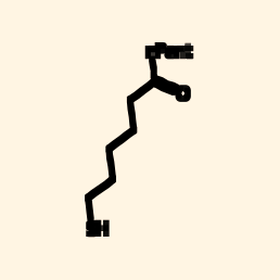 CCCCCC(=O)CCCCCS